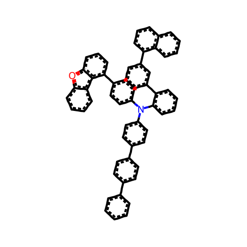 c1ccc(-c2ccc(-c3ccc(N(c4ccc(-c5cccc6oc7ccccc7c56)cc4)c4ccccc4-c4cccc(-c5cccc6ccccc56)c4)cc3)cc2)cc1